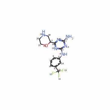 Nc1nc(Nc2cccc(C(F)(F)F)c2)nc(C2CNCCO2)n1